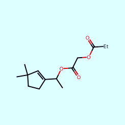 CCC(=O)OCC(=O)OC(C)C1=CC(C)(C)CC1